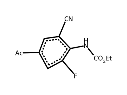 CCOC(=O)Nc1c(F)cc(C(C)=O)cc1C#N